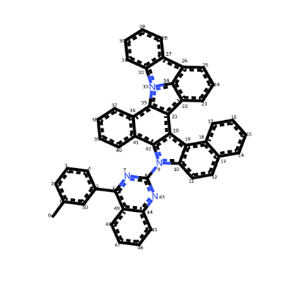 Cc1cccc(-c2nc(-n3c4ccc5ccccc5c4c4c5c6cccc7c8ccccc8n(c76)c5c5ccccc5c43)nc3ccccc23)c1